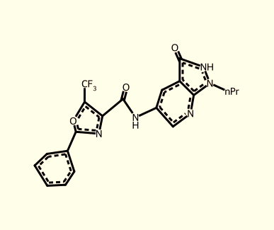 CCCn1[nH]c(=O)c2cc(NC(=O)c3nc(-c4ccccc4)oc3C(F)(F)F)cnc21